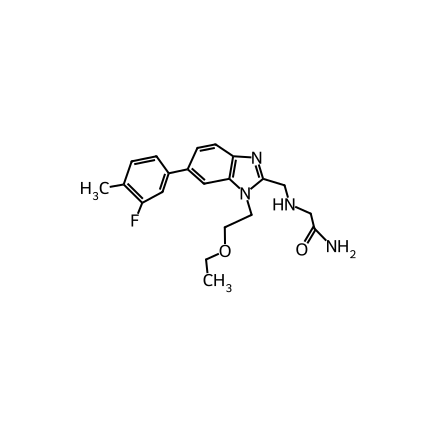 CCOCCn1c(CNCC(N)=O)nc2ccc(-c3ccc(C)c(F)c3)cc21